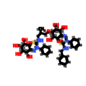 CC(CNC(=S)N(/N=C1\[C@@H](O)[C@@H](O)[C@@H](O)[C@H](O)[C@H]1O)c1ccccc1)CO[C@@H]1[C@H](O)[C@H](O)/C(=N\N(C(=S)NCc2ccccc2)c2ccccc2)[C@H](O)[C@H]1O